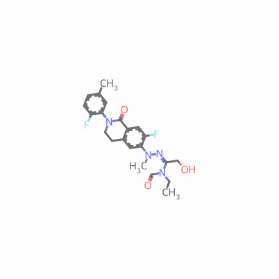 CCN(C=O)/C(CO)=N\N(C)c1cc2c(cc1F)C(=O)N(c1cc(C)ccc1F)CC2